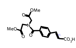 COC(=O)CN(CC(=O)OC)C(=O)c1ccc(/C=C/C(=O)O)cc1